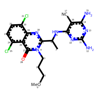 COCCCn1c(C(C)Nc2nc(N)nc(N)c2C#N)nc2c(Cl)ccc(Cl)c2c1=O